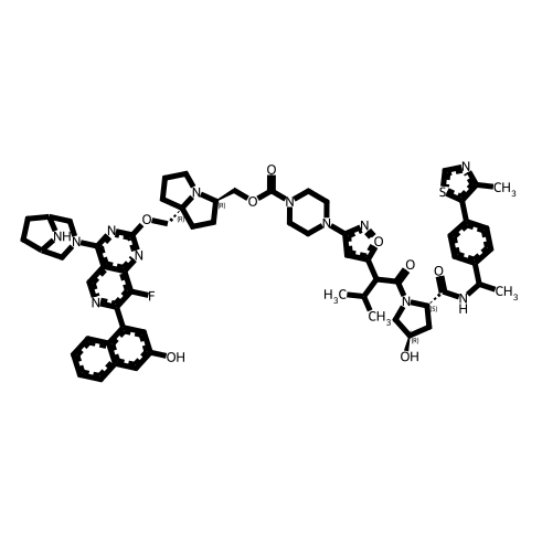 Cc1ncsc1-c1ccc(C(C)NC(=O)[C@@H]2C[C@@H](O)CN2C(=O)C(c2cc(N3CCN(C(=O)OC[C@H]4CC[C@@]5(COc6nc(N7CC8CCC(C7)N8)c7cnc(-c8cc(O)cc9ccccc89)c(F)c7n6)CCCN45)CC3)no2)C(C)C)cc1